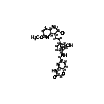 COc1ccc2ncc(Cl)c(/C=C/C34CCC(NCc5ccc6c(n5)NC(=O)CO6)(CC3)CC4)c2n1.Cl